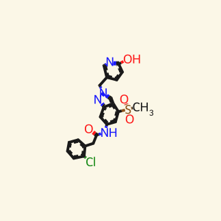 CS(=O)(=O)c1cc(NC(=O)Cc2ccccc2Cl)cc2nn(Cc3ccc(O)nc3)cc12